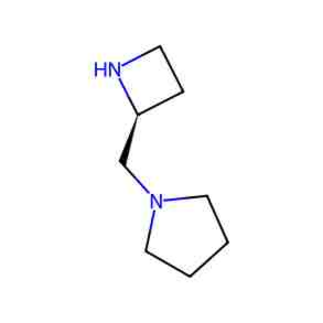 C1CCN(C[C@@H]2CCN2)C1